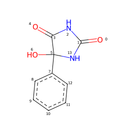 O=C1NC(=O)C(O)(c2ccccc2)N1